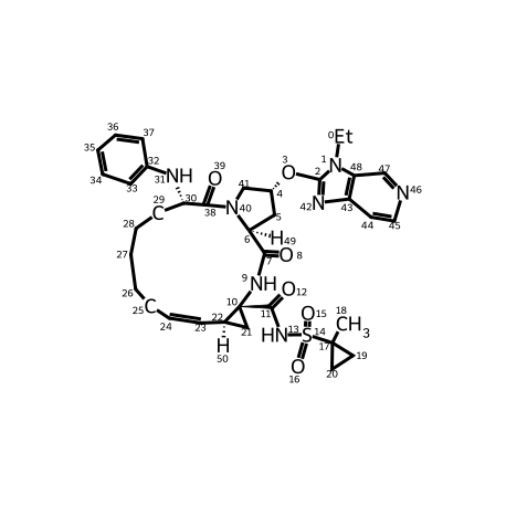 CCn1c(O[C@@H]2C[C@H]3C(=O)N[C@]4(C(=O)NS(=O)(=O)C5(C)CC5)C[C@H]4/C=C\CCCCC[C@H](Nc4ccccc4)C(=O)N3C2)nc2ccncc21